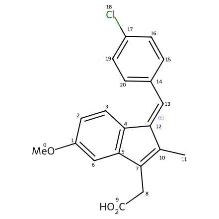 COc1ccc2c(c1)C(CC(=O)O)=C(C)/C2=C/c1ccc(Cl)cc1